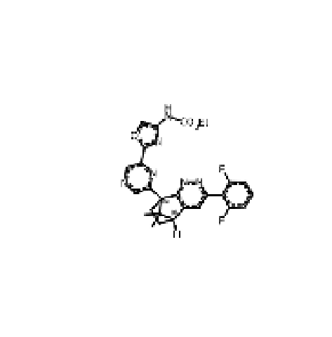 CCOC(=O)Nc1coc(-c2cncc([C@@]34CC[C@@H](c5cc(-c6c(F)cccc6F)nnc53)C4(C)C)n2)n1